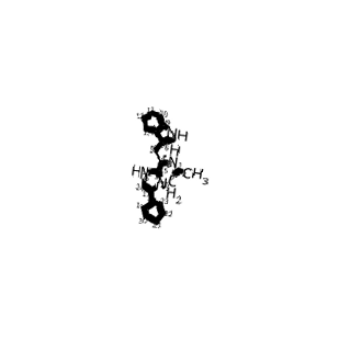 C=C(C)N[C@H](Cc1c[nH]c2ccccc12)c1nc(-c2ccccc2)c[nH]1